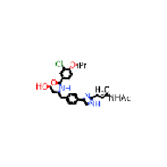 CC(=O)N[C@@H](C)CCc1nc(-c2ccc(CC(CCO)NC(=O)c3ccc(OC(C)C)c(Cl)c3)cc2)c[nH]1